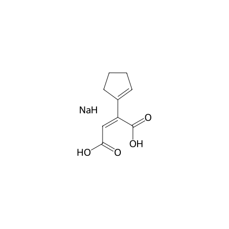 O=C(O)/C=C(\C(=O)O)C1=CCCC1.[NaH]